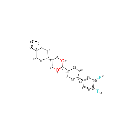 C=C[C@H]1CC[C@H]([C@H]2CO[C@H]([C@H]3CC[C@H](c4ccc(F)c(F)c4)CC3)OC2)CC1